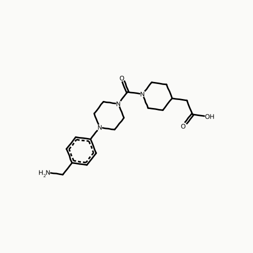 NCc1ccc(N2CCN(C(=O)N3CCC(CC(=O)O)CC3)CC2)cc1